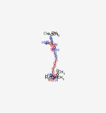 Cc1ncsc1-c1ccc([C@H](C)NC(=O)[C@@H]2C[C@@H](O)CN2C(=O)[C@@H](NCCOCCOCCOCCOCCOCCN2CCC(N3CCC(CNc4ccc(S(=O)(=O)NC(=O)c5ccc(N6CCN(CC7=C(c8ccc(Cl)cc8)CC(C)(C)CC7)CC6)cc5Oc5cnc6[nH]ccc6c5)cc4[N+](=O)[O-])CC3)CC2)C(C)(C)C)cc1